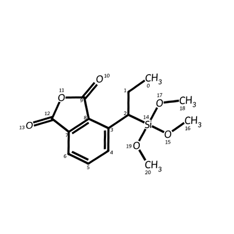 CCC(c1cccc2c1C(=O)OC2=O)[Si](OC)(OC)OC